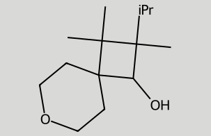 CC(C)C1(C)C(O)C2(CCOCC2)C1(C)C